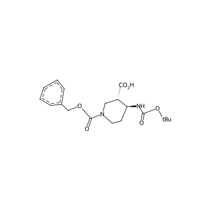 CC(C)(C)OC(=O)N[C@H]1CCN(C(=O)OCc2ccccc2)C[C@@H]1C(=O)O